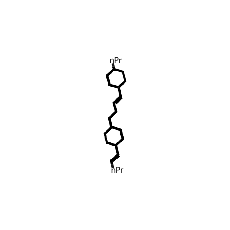 CCCC=CC1CCC(CCC=CC2CCC(CCC)CC2)CC1